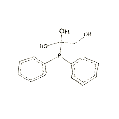 OCC(O)(O)P(c1ccccc1)c1ccccc1